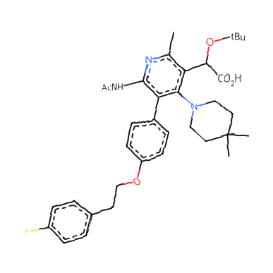 CC(=O)Nc1nc(C)c(C(OC(C)(C)C)C(=O)O)c(N2CCC(C)(C)CC2)c1-c1ccc(OCCc2ccc(F)cc2)cc1